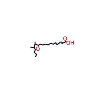 CCCC1OC(CCCCCC/C=C/C=C/C(=O)O)C(C)C1C